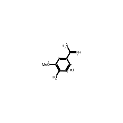 COc1cc(C(=N)N)ccc1O.Cl